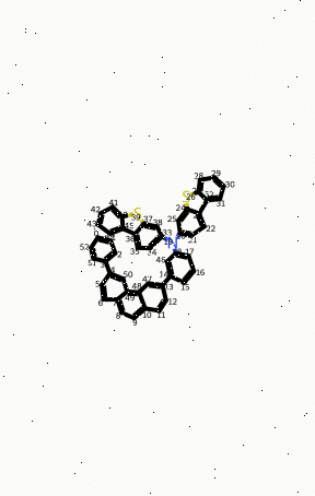 c1ccc(-c2ccc3ccc4ccc(-c5cccc(N(c6ccc7c(c6)sc6ccccc67)c6ccc7c(c6)sc6ccccc67)c5)cc4c3c2)cc1